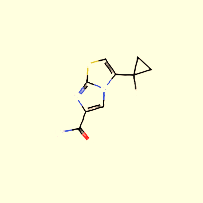 NC(=O)c1cn2c(C3(C(F)(F)F)CC3)csc2n1